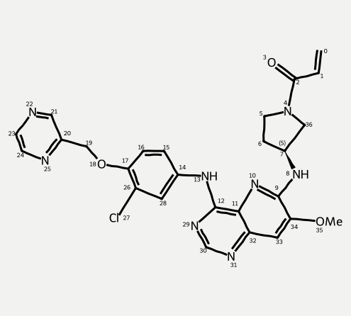 C=CC(=O)N1CC[C@H](Nc2nc3c(Nc4ccc(OCc5cnccn5)c(Cl)c4)ncnc3cc2OC)C1